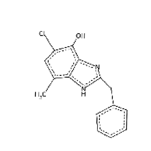 Cc1cc(Cl)c(O)c2nc(Cc3ccccc3)[nH]c12